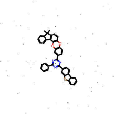 CC1(C)c2ccccc2-c2c1ccc1c2Oc2cc(-c3nc(-c4ccccc4)nc(-c4ccc5c(c4)sc4ccccc45)n3)ccc2O1